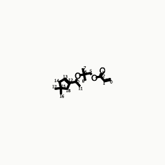 C=CC(=O)OCC(C)(C)OC(C)C1=CCC(C)(C)C1